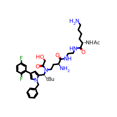 CC(=O)N[C@@H](CCCCN)C(=O)NCCNC(=O)[C@@H](N)CCN(C(=O)CO)[C@@H](c1cc(-c2cc(F)ccc2F)cn1Cc1ccccc1)C(C)(C)C